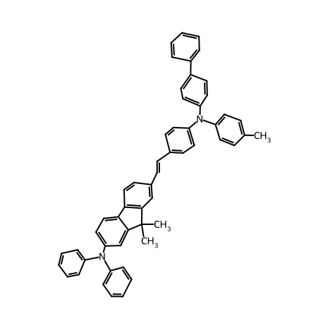 Cc1ccc(N(c2ccc(/C=C/c3ccc4c(c3)C(C)(C)c3cc(N(c5ccccc5)c5ccccc5)ccc3-4)cc2)c2ccc(-c3ccccc3)cc2)cc1